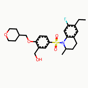 CCc1cc2c(cc1F)N(S(=O)(=O)c1ccc(OCC3CCOCC3)c(CO)c1)C(C)CC2